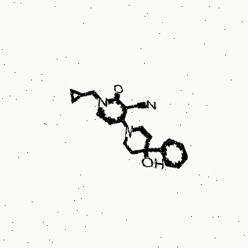 N#Cc1c(N2CCC(O)(c3ccccc3)CC2)ccn(CC2CC2)c1=O